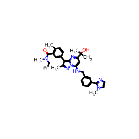 Cc1ccc(-c2c(C)nn3c(NCc4cccc(-c5nccn5C)c4)cc(C(C)(C)O)nc23)cc1C(=O)N(C)CC(C)C